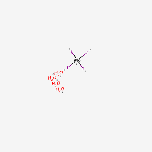 O.O.O.O.[I][Mo]([I])([I])[I]